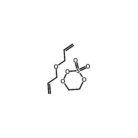 C=CCOCC=C.O=S1(=O)OCCOO1